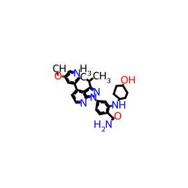 COc1cncc(-c2ccnc3c2c(C(C)C)nn3-c2ccc(C(N)=O)c(NC3CCC(O)CC3)c2)c1